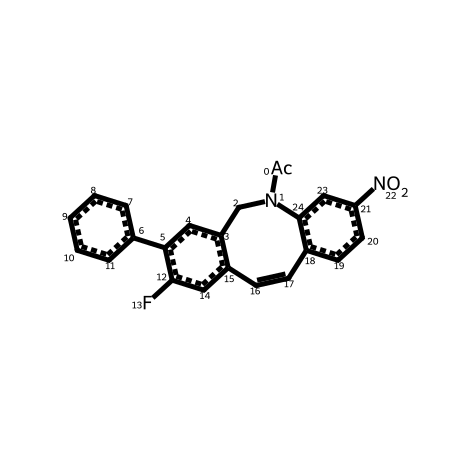 CC(=O)N1Cc2cc(-c3ccccc3)c(F)cc2C=Cc2ccc([N+](=O)[O-])cc21